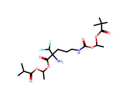 CC(OC(=O)NCCCC(N)(C(=O)OC(C)OC(=O)C(C)C)C(F)F)OC(=O)C(C)(C)C